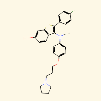 CCCCN(c1ccc(OCCCN2CCCC2)cc1)c1c(-c2ccc(Cl)cc2)sc2cc(O)ccc12